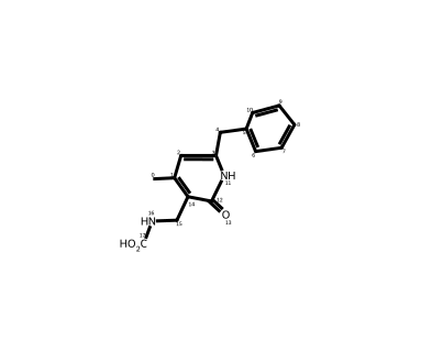 Cc1cc(Cc2ccccc2)[nH]c(=O)c1CNC(=O)O